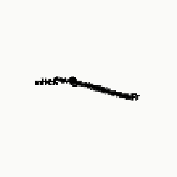 CCCCCC/C=C\CCCCCCCC(=O)OCCCCCCCCCCCCCCCCCCCCCCCCCCCCCCC(C)C